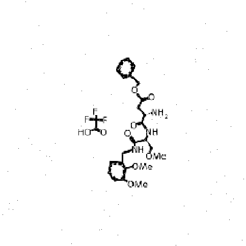 COC[C@H](NC(=O)[C@@H](N)CC(=O)OCc1ccccc1)C(=O)NCc1cccc(OC)c1OC.O=C(O)C(F)(F)F